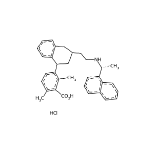 Cc1ccc(C2CC(CCN[C@H](C)c3cccc4ccccc34)Cc3ccccc32)c(C)c1C(=O)O.Cl